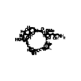 C=C1C[C@@H]2CC[C@]34C[C@@H](O)[C@H](O3)[C@H]3C[C@@H](O4)[C@H]4O[C@H](CC[C@@H]4O3)CC(=O)C[C@H]3C(C[C@H]4O[C@@H](CC[C@@H]1O2)C[C@@H](C)C4=C)O[C@H](C[C@H](O)CN)[C@@H]3OC